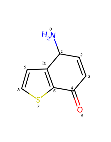 NC1C=CC(=O)c2sccc21